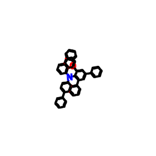 c1ccc(-c2ccc(N(c3c(-c4ccccc4)cc(-c4ccccc4)cc3-c3ccccc3)c3cccc4c3oc3ccccc34)cc2)cc1